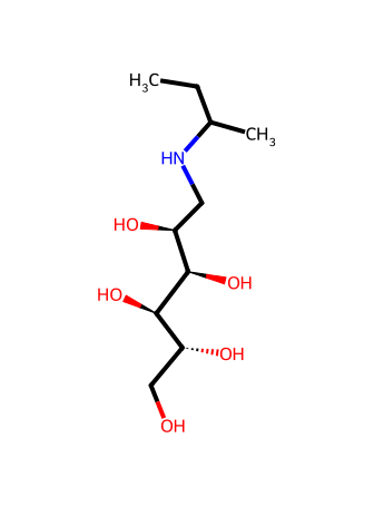 CCC(C)NC[C@H](O)[C@@H](O)[C@H](O)[C@H](O)CO